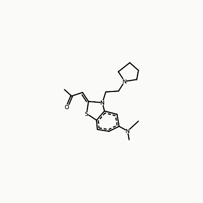 CC(=O)/C=C1\Sc2ccc(N(C)C)cc2N1CCN1CCCC1